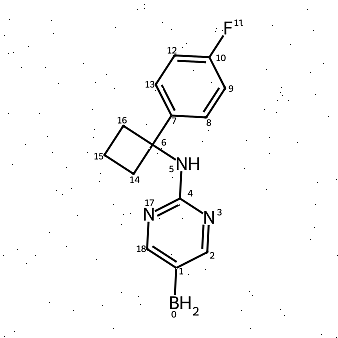 Bc1cnc(NC2(c3ccc(F)cc3)CCC2)nc1